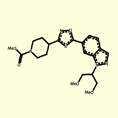 COCC(COC)n1ncc2ccc(-c3nc(C4CCN(C(=O)OC)CC4)no3)cc21